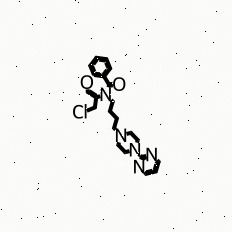 O=C1c2ccccc2OC=C(CCl)N1CCCCN1CCN(c2ncccn2)CC1